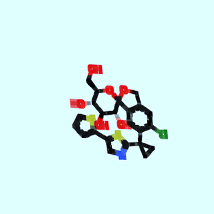 OC[C@H]1O[C@]2(OCc3cc(Cl)c(C4(c5ncc(-c6cccs6)s5)CC4)cc32)[C@H](O)[C@@H](O)[C@@H]1O